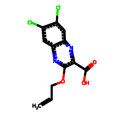 C=CCOc1nc2cc(Cl)c(Cl)cc2nc1C(=O)O